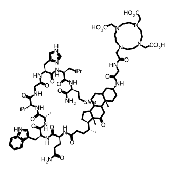 CSCC[C@H](NC(=O)[C@H](CC(C)C)NC(=O)[C@H](Cc1c[nH]cn1)NC(=O)CNC(=O)[C@@H](NC(=O)[C@H](C)NC(=O)[C@H](Cc1c[nH]c2ccccc12)NC(=O)[C@H](CCC(N)=O)NC(=O)CC[C@@H](C)[C@H]1CCC2C3CCC4C[C@@H](NC(=O)CNC(=O)CN5CCN(CC(=O)O)CCN(CC(=O)O)CCN(CC(=O)O)CC5)CC[C@]4(C)C3CC(=O)[C@@]21C)C(C)C)C(N)=O